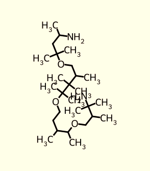 CC(N)CC(C)(C)OCC(C)C(C)(C)C(C)(C)OCCC(C)C(C)OCC(C)C(C)(C)N